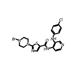 O=C(Nc1ccncc1Nc1ccc(Cl)cc1)c1cnc(N2CCN(Br)CC2)s1